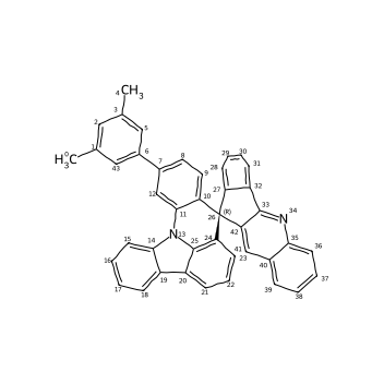 Cc1cc(C)cc(-c2ccc3c(c2)-n2c4ccccc4c4cccc(c42)[C@]32c3ccccc3-c3nc4ccccc4cc32)c1